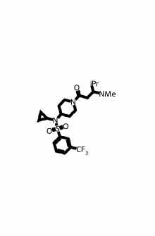 CNC(CC(=O)N1CCC(N(C2CC2)S(=O)(=O)c2cccc(C(F)(F)F)c2)CC1)C(C)C